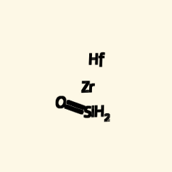 O=[SiH2].[Hf].[Zr]